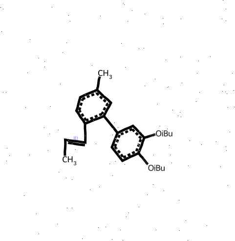 C/C=C/c1ccc(C)cc1-c1ccc(OCC(C)C)c(OCC(C)C)c1